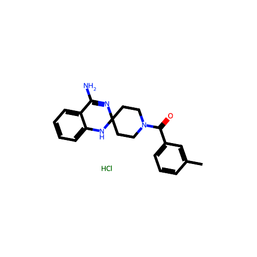 Cc1cccc(C(=O)N2CCC3(CC2)N=C(N)c2ccccc2N3)c1.Cl